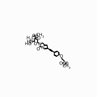 CC(CCN1Cc2cc(C#Cc3ccc(OCCS(C)(=O)=O)cc3)cn2C1=O)(C(=O)NO)S(C)(=O)=O